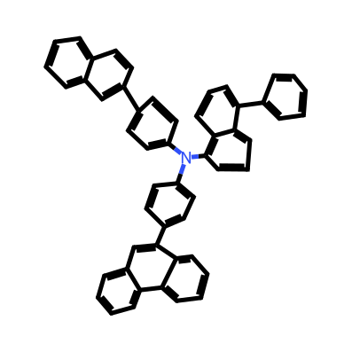 c1ccc(-c2cccc3c(N(c4ccc(-c5ccc6ccccc6c5)cc4)c4ccc(-c5cc6ccccc6c6ccccc56)cc4)cccc23)cc1